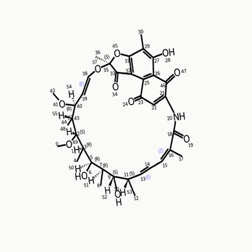 CO[C@H]1[C@H](C)[C@H](O)[C@H](C)[C@@H](O)[C@@H](C)/C=C/C=C(/C)C(=O)NC2=CC(=O)c3c(c(O)c(C)c4c3C(=O)[C@@](C)(O/C=C/[C@H](OC)[C@H]1C)O4)C2=O